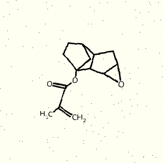 C=C(C)C(=O)OC12CCC(C1)C1CC3OC3C12